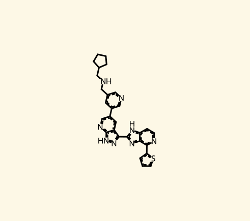 c1csc(-c2nccc3[nH]c(-c4n[nH]c5ncc(-c6cncc(CNCC7CCCC7)c6)cc45)nc23)c1